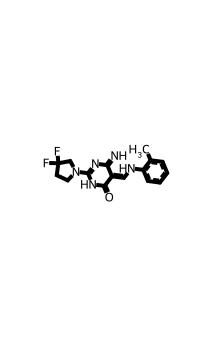 Cc1ccccc1N/C=C1\C(=N)N=C(N2CCC(F)(F)C2)NC1=O